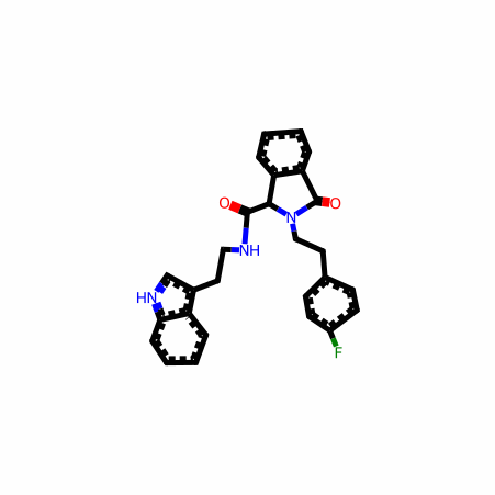 O=C(NCCc1c[nH]c2ccccc12)C1c2ccccc2C(=O)N1CCc1ccc(F)cc1